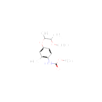 Cc1cc(OC(C)C(C)O[C]=O)ccc1NC(=O)OC(C)(C)C